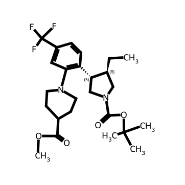 CC[C@H]1CN(C(=O)OC(C)(C)C)C[C@@H]1c1ccc(C(F)(F)F)cc1N1CCC(C(=O)OC)CC1